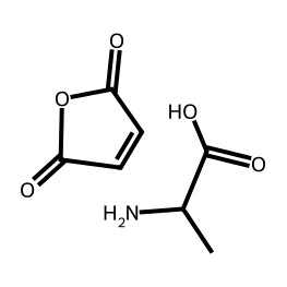 CC(N)C(=O)O.O=C1C=CC(=O)O1